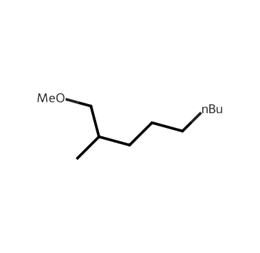 CCCCCCCC(C)COC